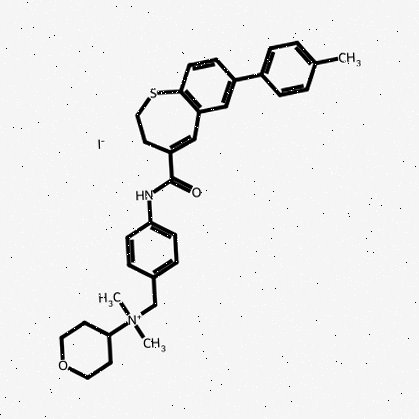 Cc1ccc(-c2ccc3c(c2)C=C(C(=O)Nc2ccc(C[N+](C)(C)C4CCOCC4)cc2)CCS3)cc1.[I-]